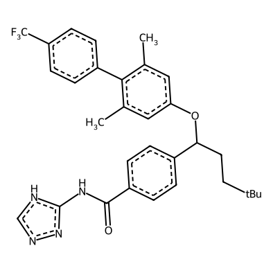 Cc1cc(OC(CCC(C)(C)C)c2ccc(C(=O)Nc3nnc[nH]3)cc2)cc(C)c1-c1ccc(C(F)(F)F)cc1